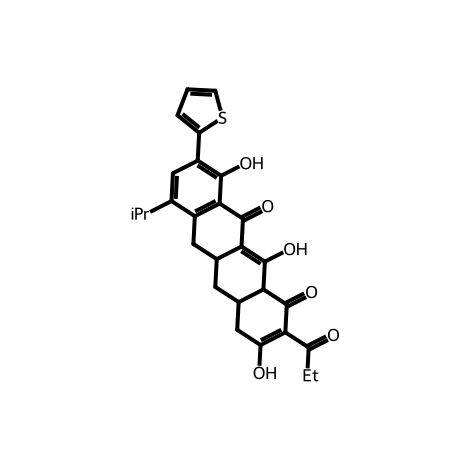 CCC(=O)C1=C(O)CC2CC3Cc4c(C(C)C)cc(-c5cccs5)c(O)c4C(=O)C3=C(O)C2C1=O